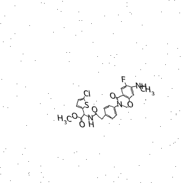 CNc1cc2c(cc1F)C(=O)N(c1ccc(CC(=O)NC(C(=O)OC)c3ccc(Cl)s3)cc1)CO2